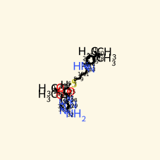 CC1(C)O[C@@H]2[C@@H](CSCCCCc3nc4cc(C(C)(C)C)ccc4[nH]3)OC(n3cnc4c(N)ncnc43)[C@@H]2O1